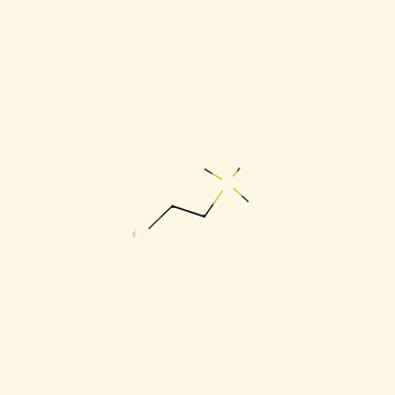 CCS(CC)(CC)CCC(C)C